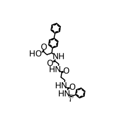 C[C@@H](NC(=O)NCCC(=O)NCC(=O)NC(CC(=O)O)c1ccc(-c2ccccc2)cc1)c1ccccc1